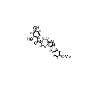 COc1ccc(Cc2nnc3n2CCN(C(=O)c2ccc(O)cc2O)CC3)cc1